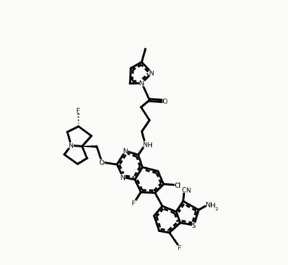 Cc1ccn(C(=O)CCCNc2nc(OC[C@@]34CCCN3C[C@H](F)C4)nc3c(F)c(-c4ccc(F)c5sc(N)c(C#N)c45)c(Cl)cc23)n1